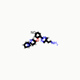 N#Cc1ccc(-c2ncc(CCN)cn2)c(Oc2ccc(N3C4CCC3CC4)nc2)c1